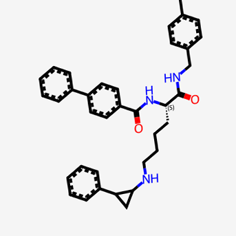 Cc1ccc(CNC(=O)[C@H](CCCCNC2CC2c2ccccc2)NC(=O)c2ccc(-c3ccccc3)cc2)cc1